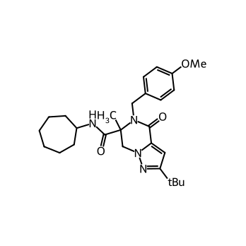 COc1ccc(CN2C(=O)c3cc(C(C)(C)C)nn3CC2(C)C(=O)NC2CCCCCC2)cc1